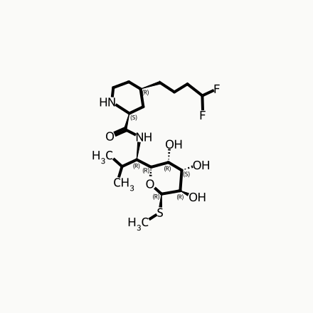 CS[C@H]1O[C@H]([C@H](NC(=O)[C@@H]2C[C@H](CCCC(F)F)CCN2)C(C)C)[C@H](O)[C@H](O)[C@H]1O